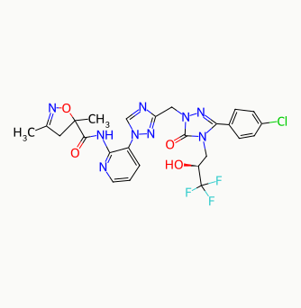 CC1=NOC(C)(C(=O)Nc2ncccc2-n2cnc(Cn3nc(-c4ccc(Cl)cc4)n(C[C@H](O)C(F)(F)F)c3=O)n2)C1